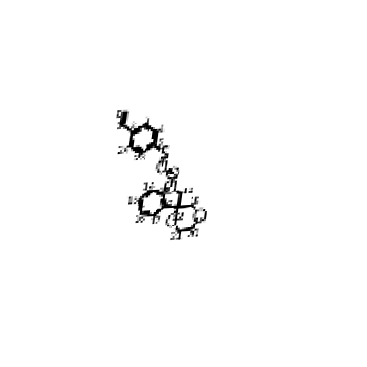 C=Cc1ccc(SOOOCC2(c3ccccc3)COCCO2)cc1